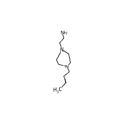 CCCCN1CCN(CC[NH])CC1